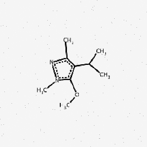 COc1c(C(C)C)c(C)nn1C